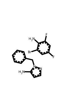 Nc1c(F)cc(F)cc1Br.Nc1ccnn1Cc1ccccc1